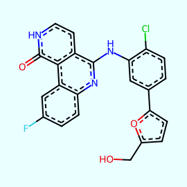 O=c1[nH]ccc2c(Nc3cc(-c4ccc(CO)o4)ccc3Cl)nc3ccc(F)cc3c12